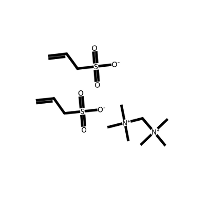 C=CCS(=O)(=O)[O-].C=CCS(=O)(=O)[O-].C[N+](C)(C)C[N+](C)(C)C